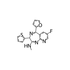 CNC1=Nc2ncc(F)cc2C(c2ccco2)=NC1c1cccs1